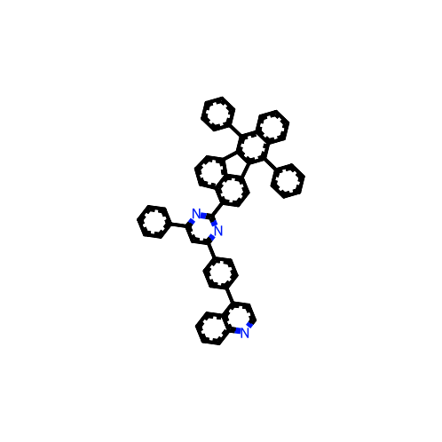 c1ccc(-c2cc(-c3ccc(-c4ccnc5ccccc45)cc3)nc(-c3ccc4c5c(cccc35)-c3c-4c(-c4ccccc4)c4ccccc4c3-c3ccccc3)n2)cc1